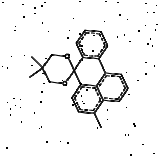 Cc1ccc2c3c(cccc13)-c1ccccc1C21OCC(C)(C)CO1